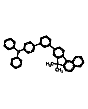 CC1(C)c2cc(-c3cccc(-c4ccc(N(c5ccccc5)c5ccccc5)cc4)c3)ccc2-c2c1ccc1ccccc21